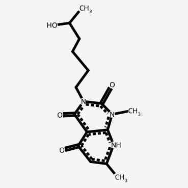 Cc1cc(=O)c2c(=O)n(CCCCC(C)O)c(=O)n(C)c2[nH]1